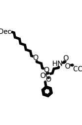 CCCCCCCCCCCCCCCCCCOCCCOP(=O)(CCCNC(=O)OCC(Cl)(Cl)Cl)OCc1ccccc1